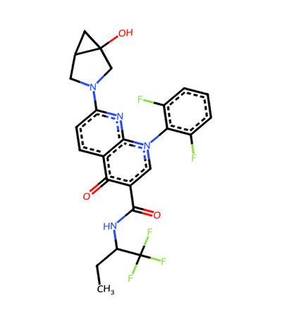 CCC(NC(=O)c1cn(-c2c(F)cccc2F)c2nc(N3CC4CC4(O)C3)ccc2c1=O)C(F)(F)F